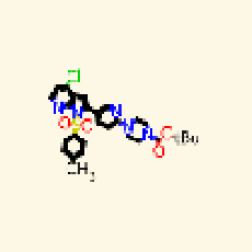 Cc1ccc(S(=O)(=O)n2c(-c3ccc(N4CCN(C(=O)OC(C)(C)C)CC4)nc3)cc3c(Cl)ccnc32)cc1